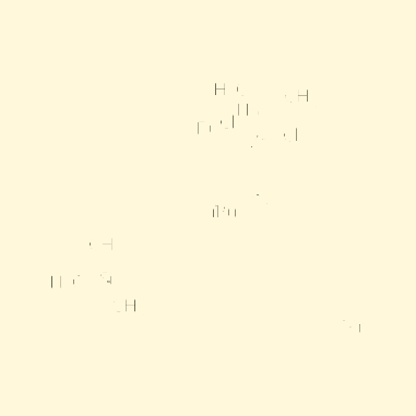 CCC1=Cc2c(-c3ccc([Si](C)(C)C)cc3)cccc2[CH]1[Zr]([Cl])([Cl])([CH]1C(C(C)CC)=Cc2c(-c3ccc(C(C)C)cc3)cccc21)[SiH](C)C